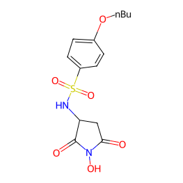 CCCCOc1ccc(S(=O)(=O)NC2CC(=O)N(O)C2=O)cc1